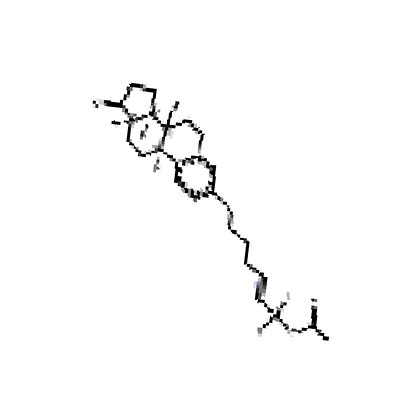 CC(=O)OC(F)(F)/C=C/CCCOc1ccc2c(c1)CC[C@@H]1[C@@H]2CC[C@]2(C)C(=O)CC[C@@H]12